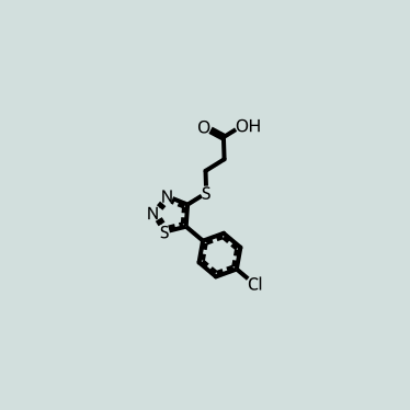 O=C(O)CCSc1nnsc1-c1ccc(Cl)cc1